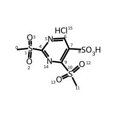 CS(=O)(=O)c1ncc(S(=O)(=O)O)c(S(C)(=O)=O)n1.Cl